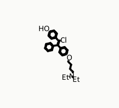 CCN(CC)CCCCOc1ccc(/C(=C(\Cl)c2ccc(O)cc2)c2ccccc2)cc1